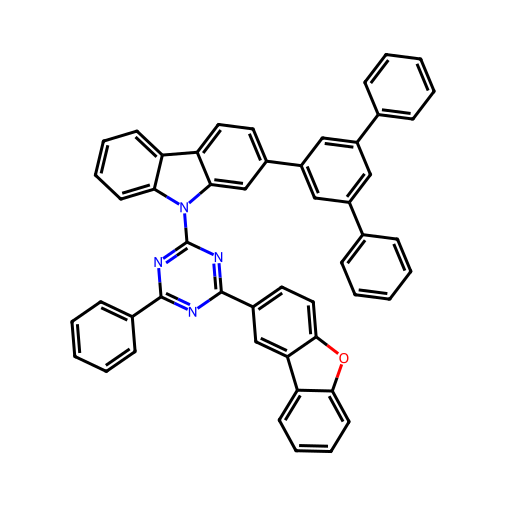 c1ccc(-c2cc(-c3ccccc3)cc(-c3ccc4c5ccccc5n(-c5nc(-c6ccccc6)nc(-c6ccc7oc8ccccc8c7c6)n5)c4c3)c2)cc1